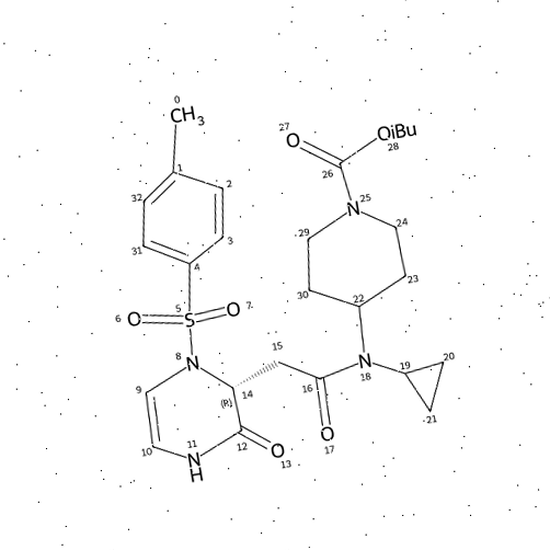 Cc1ccc(S(=O)(=O)N2C=CNC(=O)[C@H]2CC(=O)N(C2CC2)C2CCN(C(=O)OCC(C)C)CC2)cc1